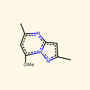 COc1[c]c(C)nc2cc(C)nn12